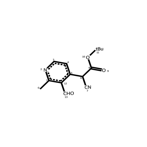 Cc1nccc(C(C#N)C(=O)OC(C)(C)C)c1C=O